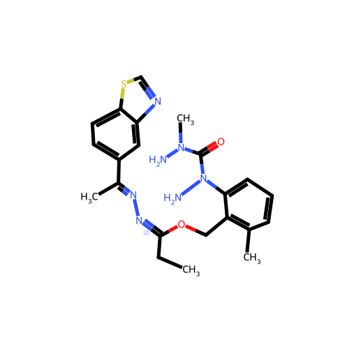 CC/C(=N/N=C(C)c1ccc2scnc2c1)OCc1c(C)cccc1N(N)C(=O)N(C)N